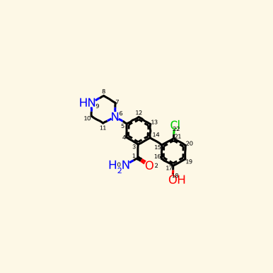 NC(=O)c1cc(N2CCNCC2)ccc1-c1cc(O)ccc1Cl